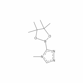 Cn1cnnc1B1OC(C)(C)C(C)(C)O1